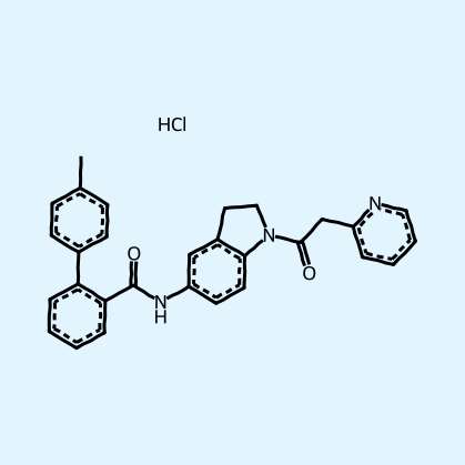 Cc1ccc(-c2ccccc2C(=O)Nc2ccc3c(c2)CCN3C(=O)Cc2ccccn2)cc1.Cl